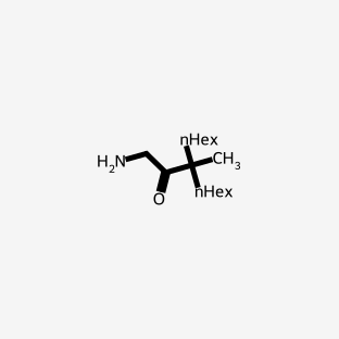 CCCCCCC(C)(CCCCCC)C(=O)CN